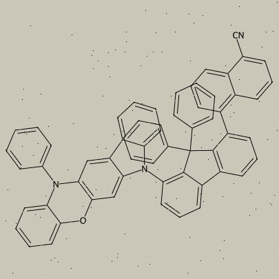 N#Cc1cccc2c(-c3cccc4c3C(c3ccccc3)(c3ccccc3)c3c-4cccc3-n3c4ccccc4c4cc5c(cc43)Oc3ccccc3N5c3ccccc3)cccc12